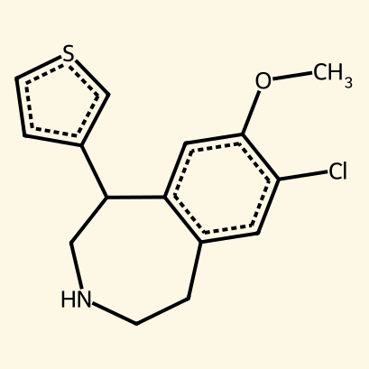 COc1cc2c(cc1Cl)CCNCC2c1ccsc1